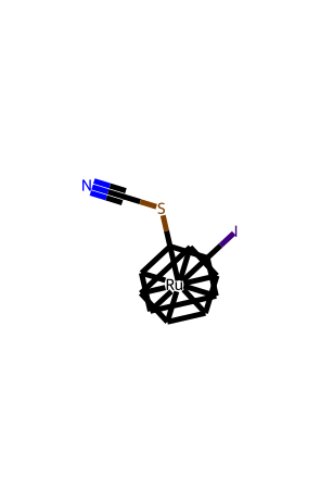 N#CS[C]12[CH]3[CH]4[CH]5[C]1(I)[Ru]45321678[CH]2[CH]1[CH]6[CH]7[CH]28